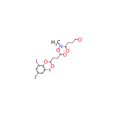 CN(OC(=O)CCC(=O)Oc1c(I)cc(I)cc1I)C(=O)CCC=O